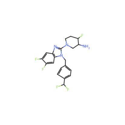 NC1CN(c2nc3cc(F)c(F)cc3n2Cc2ccc(C(F)F)cc2)CCC1F